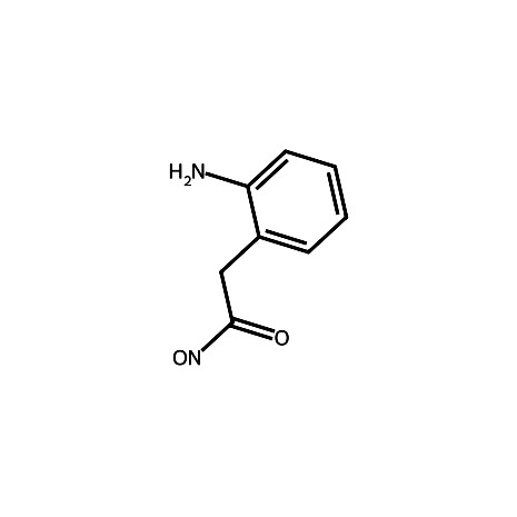 Nc1ccccc1CC(=O)N=O